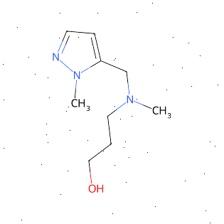 CN(CCCO)Cc1ccnn1C